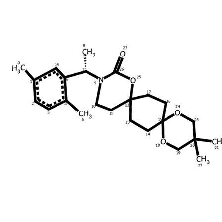 Cc1ccc(C)c([C@H](C)N2CCC3(CCC4(CC3)OCC(C)(C)CO4)OC2=O)c1